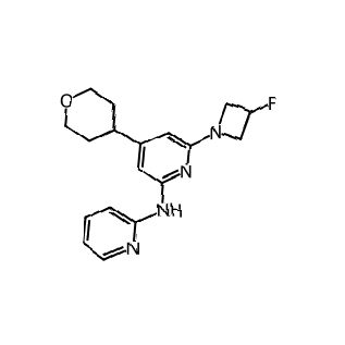 FC1CN(c2cc(C3CCOCC3)cc(Nc3ccccn3)n2)C1